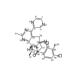 Cc1nc(-c2cnccn2)c2c(n1)[C@H]1[C@H](C)CC[C@@H](C2)N1C(=O)c1ccc(Cl)c(F)c1Cl